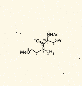 COCCN(C)C(=O)[C@H](CC(C)C)NC(C)=O